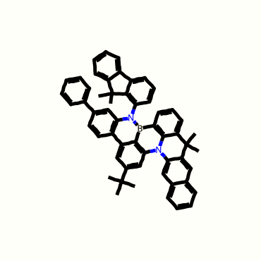 CC(C)(C)c1cc2c3c(c1)N1c4cc5ccccc5cc4C(C)(C)c4cccc(c41)B3N(c1cccc3c1C(C)(C)c1ccccc1-3)c1cc(-c3ccccc3)ccc1-2